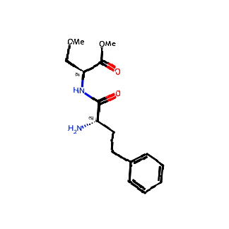 COC[C@H](NC(=O)[C@@H](N)CCc1ccccc1)C(=O)OC